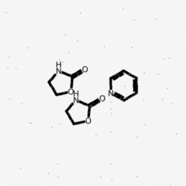 O=C1NCCO1.O=C1NCCO1.c1ccncc1